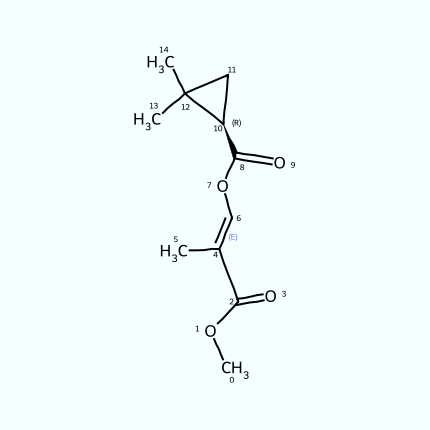 COC(=O)/C(C)=C/OC(=O)[C@@H]1CC1(C)C